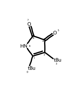 CC(C)(C)C1=C(C(C)(C)C)C(=O)C(=O)N1